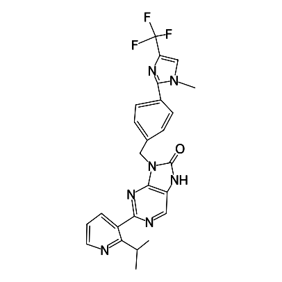 CC(C)c1ncccc1-c1ncc2[nH]c(=O)n(Cc3ccc(-c4nc(C(F)(F)F)cn4C)cc3)c2n1